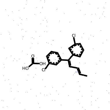 C/C=C/C=C(c1cccc(Cl)c1)c1cccc(Cl)c1.O=C(O)O